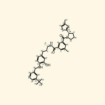 Cc1cc(C(=O)N[C@@H](C)CCc2ccc(NCc3cncc(C(C)(C)F)c3)c(O)c2)cc(C(=O)N2CCC[C@@H]2c2nc(C)cs2)c1